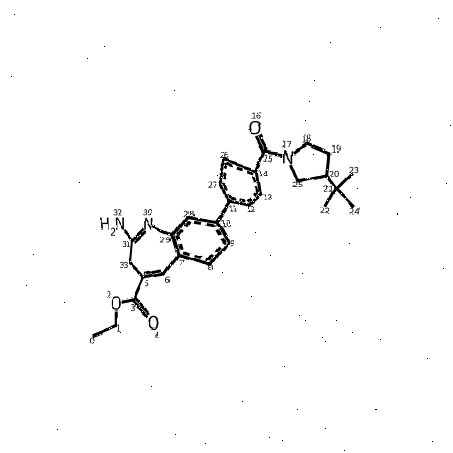 CCOC(=O)C1=Cc2ccc(-c3ccc(C(=O)N4CCC(C(C)(C)C)C4)cc3)cc2N=C(N)C1